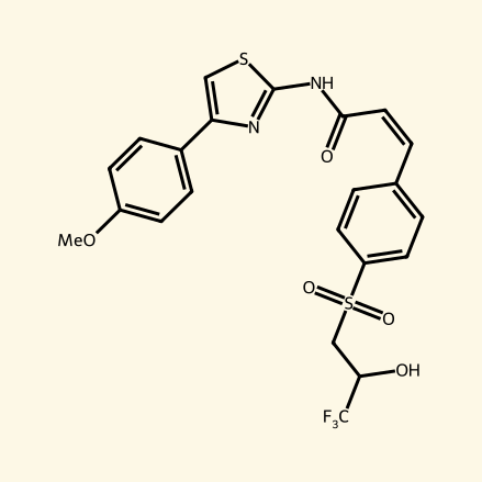 COc1ccc(-c2csc(NC(=O)/C=C\c3ccc(S(=O)(=O)CC(O)C(F)(F)F)cc3)n2)cc1